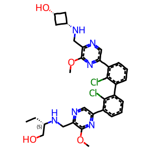 CC[C@@H](CO)NCc1ncc(-c2cccc(-c3cccc(-c4cnc(CN[C@H]5C[C@@H](O)C5)c(OC)n4)c3Cl)c2Cl)nc1OC